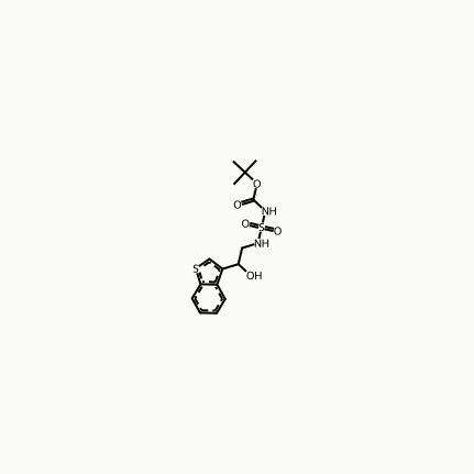 CC(C)(C)OC(=O)NS(=O)(=O)NCC(O)c1csc2ccccc12